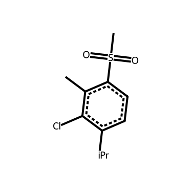 Cc1c(S(C)(=O)=O)ccc(C(C)C)c1Cl